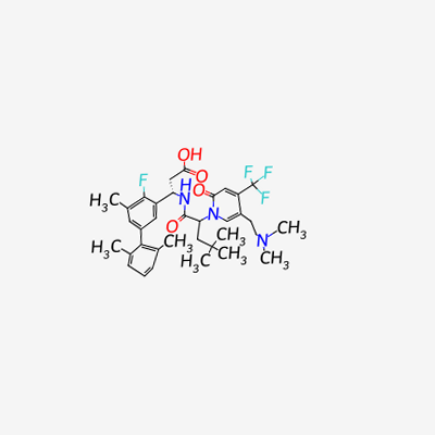 Cc1cc(-c2c(C)cccc2C)cc([C@H](CC(=O)O)NC(=O)C(CC(C)(C)C)n2cc(CCN(C)C)c(C(F)(F)F)cc2=O)c1F